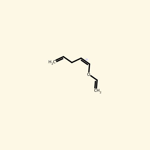 C=CC/C=C\OC=C